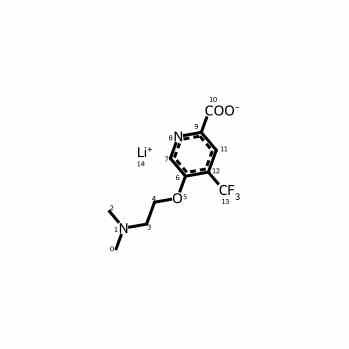 CN(C)CCOc1cnc(C(=O)[O-])cc1C(F)(F)F.[Li+]